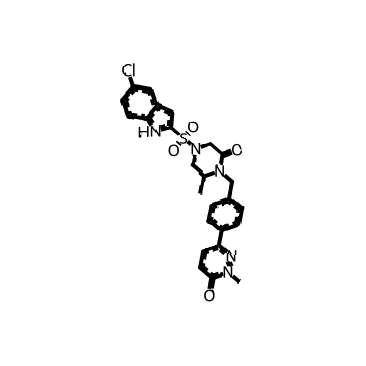 CC1CN(S(=O)(=O)c2cc3cc(Cl)ccc3[nH]2)CC(=O)N1Cc1ccc(-c2ccc(=O)n(C)n2)cc1